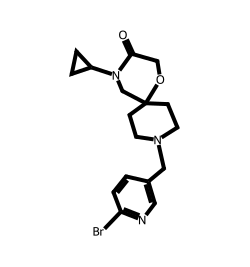 O=C1COC2(CCN(Cc3ccc(Br)nc3)CC2)CN1C1CC1